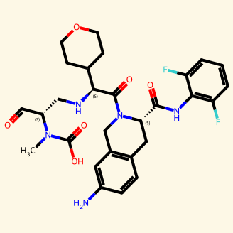 CN(C(=O)O)[C@H](C=O)CN[C@H](C(=O)N1Cc2cc(N)ccc2C[C@H]1C(=O)Nc1c(F)cccc1F)C1CCOCC1